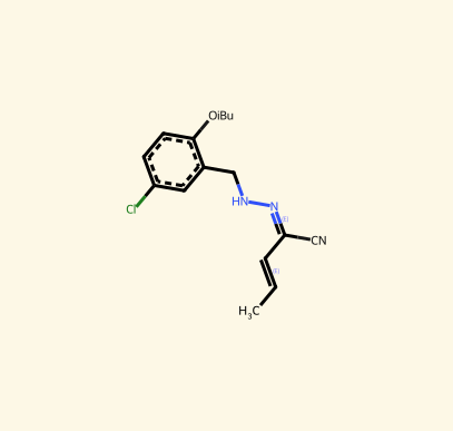 C/C=C/C(C#N)=N\NCc1cc(Cl)ccc1OCC(C)C